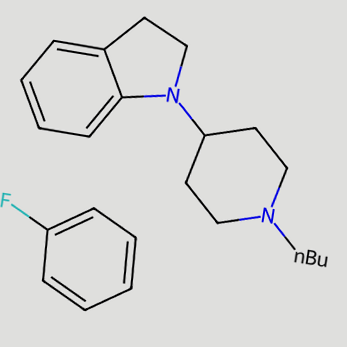 CCCCN1CCC(N2CCc3ccccc32)CC1.Fc1ccccc1